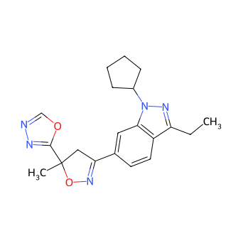 CCc1nn(C2CCCC2)c2cc(C3=NOC(C)(c4nnco4)C3)ccc12